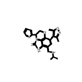 Cc1noc(C)c1-c1cc(CNC(C)C)c2[nH]c(=O)n3c2c1OCC3c1ccccn1